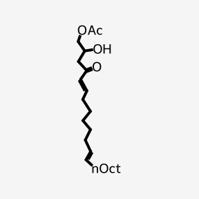 CCCCCCCCC=CCCCCCC=CC(=O)CC(O)COC(C)=O